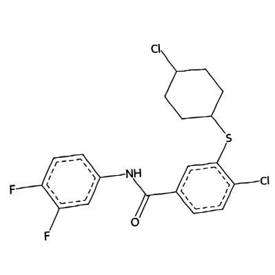 O=C(Nc1ccc(F)c(F)c1)c1ccc(Cl)c(SC2CCC(Cl)CC2)c1